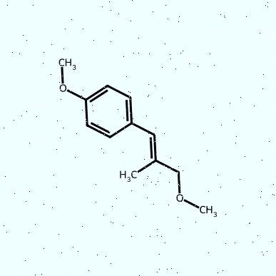 COC/C(C)=C/c1ccc(OC)cc1